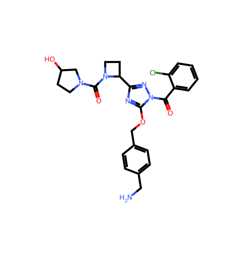 NCc1ccc(COc2nc(C3CCN3C(=O)N3CCC(O)C3)nn2C(=O)c2ccccc2Cl)cc1